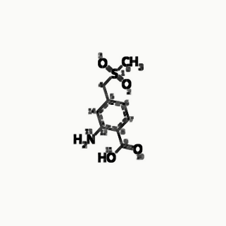 CS(=O)(=O)Cc1ccc(C(=O)O)c(N)c1